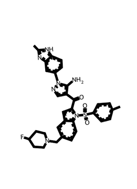 Cc1ccc(S(=O)(=O)n2c(C(=O)c3cnn(-c4ccc5[nH]c(C)nc5c4)c3N)cc3cc(CN4CCC(F)CC4)ccc32)cc1